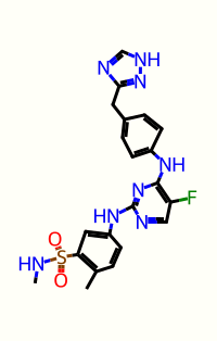 CNS(=O)(=O)c1cc(Nc2ncc(F)c(Nc3ccc(Cc4nc[nH]n4)cc3)n2)ccc1C